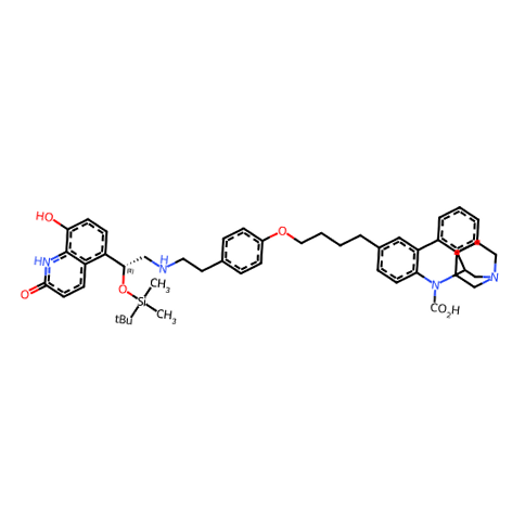 CC(C)(C)[Si](C)(C)O[C@@H](CNCCc1ccc(OCCCCc2ccc(N(C(=O)O)C3CN4CCC3CC4)c(-c3ccccc3)c2)cc1)c1ccc(O)c2[nH]c(=O)ccc12